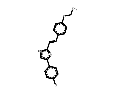 CCOc1ccc(/C=C/c2nc(-c3ccc(Cl)cc3)c[nH]2)cc1